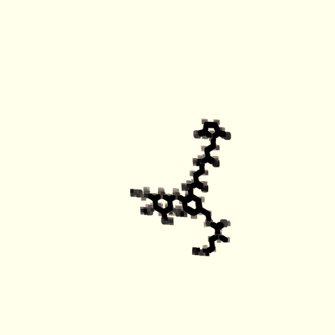 CNCCN(C)C(=O)OCc1ccc(OC2OC(C(=O)O)[C@@H](O)C(O)[C@H]2O)c(NC(=O)CCNC(=O)CCN2C(=O)C=CC2=O)c1